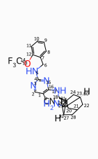 N#Cc1cnc(NCc2ccccc2OC(F)(F)F)nc1NC[C@]12CC3C[C@H](C1)[C@@H](N)[C@@H](C3)C2